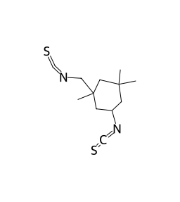 CC1(C)CC(N=C=S)CC(C)(CN=C=S)C1